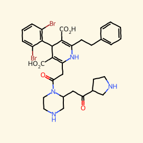 O=C(O)C1=C(CCc2ccccc2)NC(CC(=O)N2CCNCC2CC(=O)C2CCNC2)=C(C(=O)O)C1c1c(Br)cccc1Br